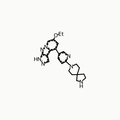 CCOc1cc(-c2ccc(N3CCC4(CCNC4)CC3)nc2)c2c3cn[nH]c3nn2c1